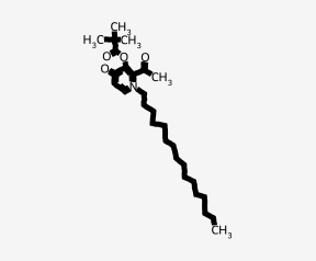 CCCCCCCCCCCCCCCCn1ccc(=O)c(OC(=O)C(C)(C)C)c1C(C)=O